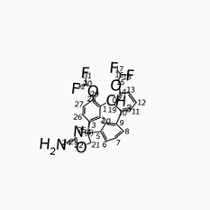 Cc1cc([C@@]2(c3cccc(-c4cccc(OC(F)F)c4)c3)COC(N)=N2)ccc1OC(F)F